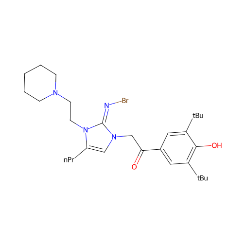 CCCc1cn(CC(=O)c2cc(C(C)(C)C)c(O)c(C(C)(C)C)c2)/c(=N\Br)n1CCN1CCCCC1